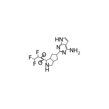 Nc1nc(C2CC3CNC(S(=O)(=O)C(F)C(F)F)C3C2)nc2[nH]ccc12